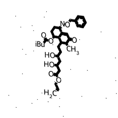 C=CCOC(=O)CC(O)CC(O)CCC1C(C)C(=O)C=C2/C(=N\OCc3ccccc3)CCC(OC(=O)C(C)CC)C21